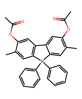 CC(=O)Oc1cc2c(cc1C)[Si](c1ccccc1)(c1ccccc1)c1cc(C)c(OC(C)=O)cc1-2